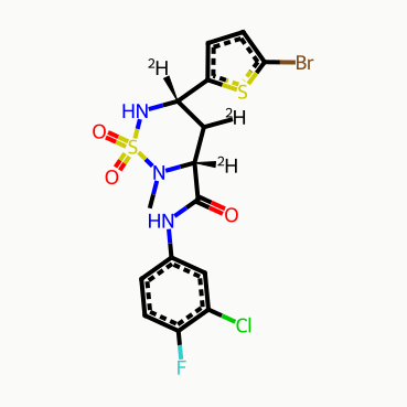 [2H]C1[C@]([2H])(C(=O)Nc2ccc(F)c(Cl)c2)N(C)S(=O)(=O)N[C@]1([2H])c1ccc(Br)s1